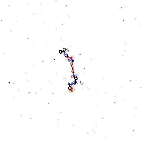 Cc1ccc(NC(=O)C2(c3ccc4c(c3)OC(F)(F)O4)CC2)nc1-c1cccc(C(=O)NCCOCCOCCOc2ccc3c(=O)n(CC4(O)CCN(C(=O)C[C@@H](C)c5ccccc5)CC4)cnn23)c1